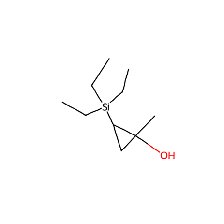 CC[Si](CC)(CC)C1CC1(C)O